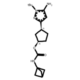 CC(C)(C)n1nc([C@H]2CC[C@@H](OC(=O)NC34CC(C3)C4)C2)cc1N